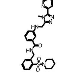 Cn1c(CNc2cccc(C(=O)NCc3ccccc3S(=O)(=O)N3CCCCC3)c2)nnc1-c1ccncn1